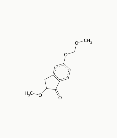 COCOc1ccc2c(c1)CC(OC)C2=O